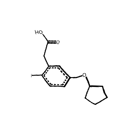 O=C(O)Cc1cc(OC2CCCC2)ccc1I